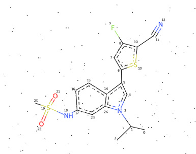 CC(C)n1cc(-c2cc(F)c(C#N)s2)c2ccc(NS(C)(=O)=O)cc21